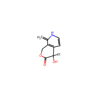 C=C1NC=CC2=C1COC(=O)C2(O)CC